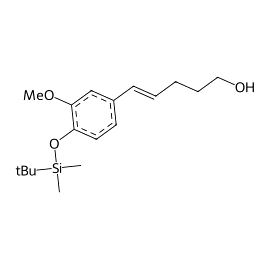 COc1cc(C=CCCCO)ccc1O[Si](C)(C)C(C)(C)C